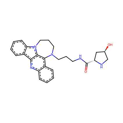 O=C(NCCCN1CCCn2c3ccccc3c3nc4ccccc4c1c32)[C@@H]1C[C@@H](O)CN1